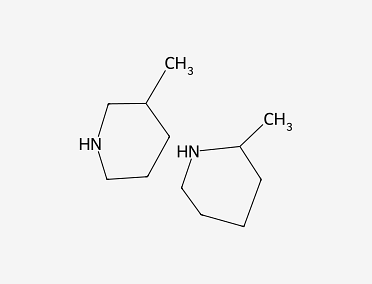 CC1CCCCN1.CC1CCCNC1